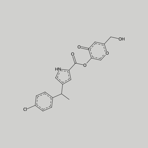 CC(c1ccc(Cl)cc1)c1c[nH]c(C(=O)Oc2coc(CO)cc2=O)c1